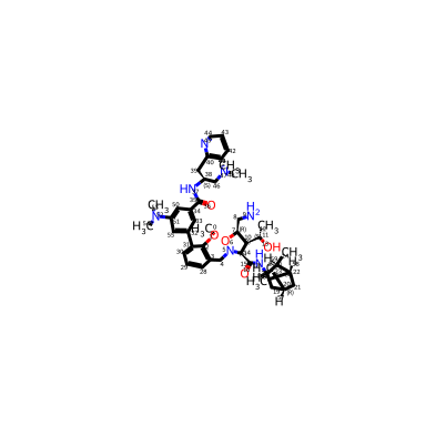 COc1c(CN2O[C@@H](CN)[C@@H]([C@H](C)O)[C@H]2C(=O)N[C@H]2C[C@H]3C[C@@H]([C@@H]2C)C3(C)C)cccc1-c1cc(C(=O)N[C@@H](Cc2ccccn2)CN(C)C)cc(N(C)C)c1